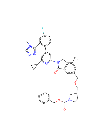 Cn1cnnc1-c1cc(F)ccc1-c1cc(C2CC2)nc(N2Cc3c(cc(COC[C@@H]4CCN(C(=O)OCc5ccccc5)C4)cc3C(F)(F)F)C2=O)c1